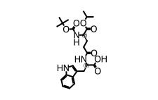 CC(C)OC(=O)[C@@H](CCC(=O)N[C@H](Cc1c[nH]c2ccccc12)C(=O)O)NC(=O)OC(C)(C)C